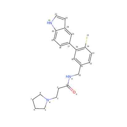 O=C(CCN1CCCC1)NCc1ccc(F)c(-c2ccc3[nH]ccc3c2)c1